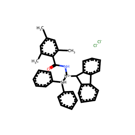 Cc1cc(C)c(C(=O)[NH][Zr+2]([CH]2c3ccccc3-c3ccccc32)[SiH](c2ccccc2)c2ccccc2)c(C)c1.[Cl-].[Cl-]